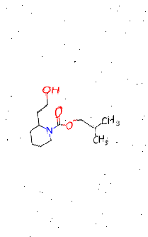 CC(C)COC(=O)N1CCCCC1CCO